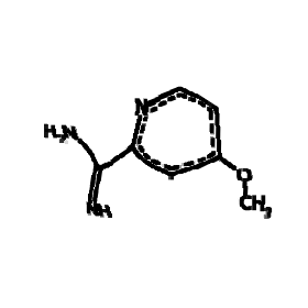 COc1[c]c(C(=N)N)ncc1